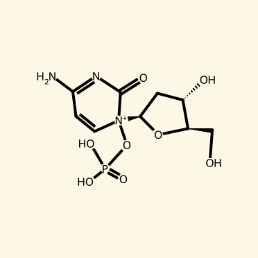 NC1=NC(=O)[N+](OP(=O)(O)O)([C@H]2C[C@H](O)[C@@H](CO)O2)C=C1